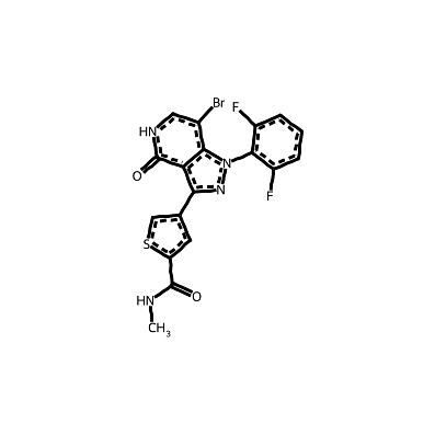 CNC(=O)c1cc(-c2nn(-c3c(F)cccc3F)c3c(Br)c[nH]c(=O)c23)cs1